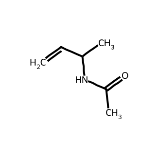 C=CC(C)NC(C)=O